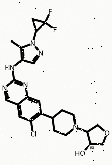 Cc1c(Nc2ncc3cc(Cl)c(C4CCN(C5COC[C@H]5O)CC4)cc3n2)cnn1C1CC1(F)F